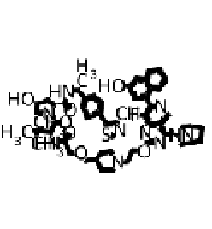 Cc1ncsc1-c1ccc([C@H](C)NC(=O)[C@@H]2C[C@@H](O)CN2C(=O)[C@@H](NC(=O)COCC2CCN(CCOc3nc(N4CC5CCC(C4)N5)c4cnc(-c5cc(O)cc6ccccc56)c(F)c4n3)CC2)C(C)(C)C)cc1